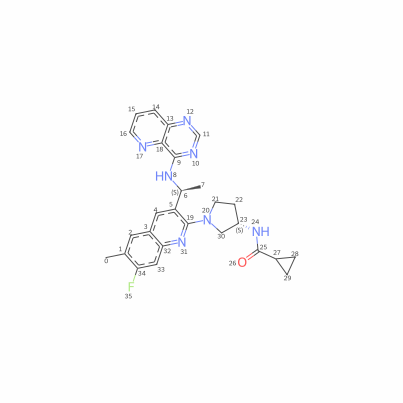 Cc1cc2cc([C@H](C)Nc3ncnc4cccnc34)c(N3CC[C@H](NC(=O)C4CC4)C3)nc2cc1F